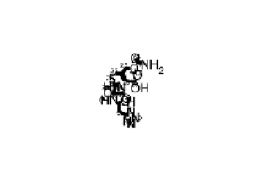 COC1(NC(=O)Cc2nnn[nH]2)C(=O)N2C(C(=O)O)=C(COC(N)=O)CS[C@@H]21